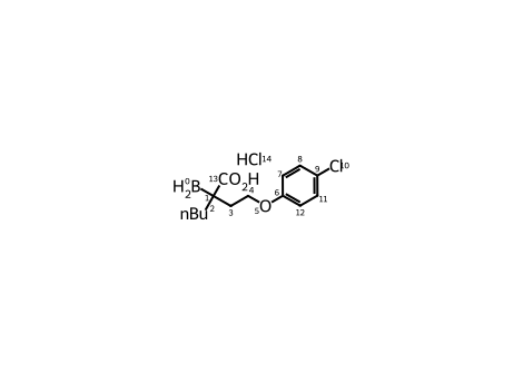 BC(CCCC)(CCOc1ccc(Cl)cc1)C(=O)O.Cl